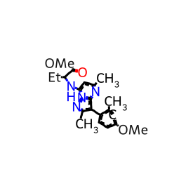 CCC(Nc1cc(C)nc2c(-c3ccc(OC)cc3C)c(C)nn12)C(=O)OC